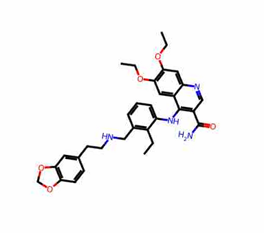 CCOc1cc2ncc(C(N)=O)c(Nc3cccc(CNCCc4ccc5c(c4)OCO5)c3CC)c2cc1OCC